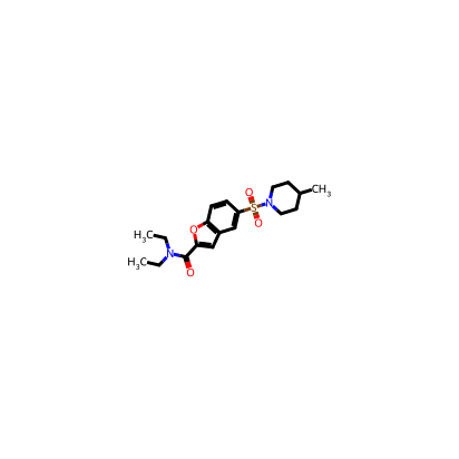 CCN(CC)C(=O)c1cc2cc(S(=O)(=O)N3CCC(C)CC3)ccc2o1